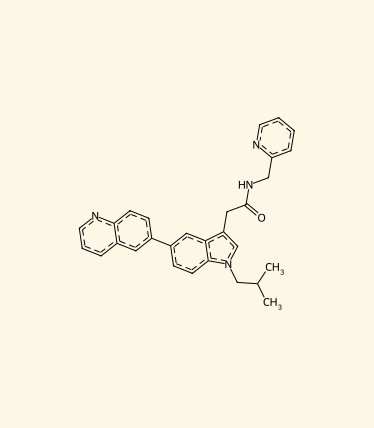 CC(C)Cn1cc(CC(=O)NCc2ccccn2)c2cc(-c3ccc4ncccc4c3)ccc21